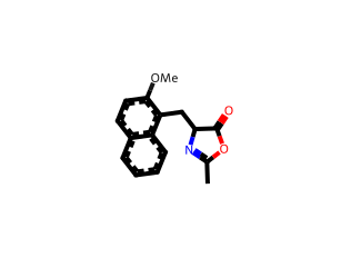 COc1ccc2ccccc2c1CC1N=C(C)OC1=O